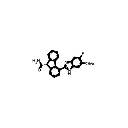 COc1cc2[nH]c(-c3cccc4c3-c3ccccc3[C@H]4C(N)=O)nc2cc1F